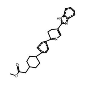 COC(=O)CC1CCC(c2ccc(C3=NC=C(c4nc5ccccc5[nH]4)CC3)cc2)CC1